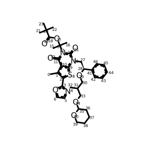 Cc1c(-c2ncco2)sc2c1c(=O)n(C(C)(C)OC(=O)C(C)(C)C)c(=O)n2C[C@H](OCC(C)COC1CCCCO1)c1ccccc1